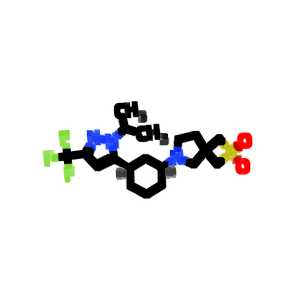 CC(C)n1nc(C(F)(F)F)cc1[C@@H]1CCC[C@H](N2CCC3(C2)CS(=O)(=O)C3)C1